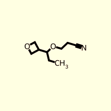 CCC(OCCC#N)C1COC1